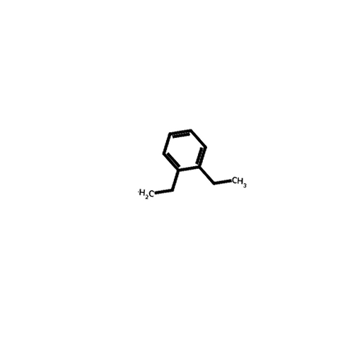 [CH2]Cc1ccccc1CC